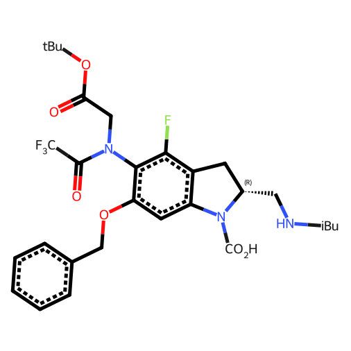 CCC(C)NC[C@H]1Cc2c(cc(OCc3ccccc3)c(N(CC(=O)OC(C)(C)C)C(=O)C(F)(F)F)c2F)N1C(=O)O